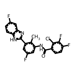 Cc1c(NC(=O)c2ccc(F)c(F)c2Cl)cc(F)cc1-c1nc2cc(F)ccc2[nH]1